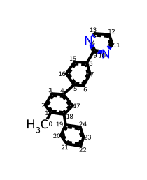 Cc1ccc(-c2ccc(-c3ncccn3)cc2)cc1-c1ccccc1